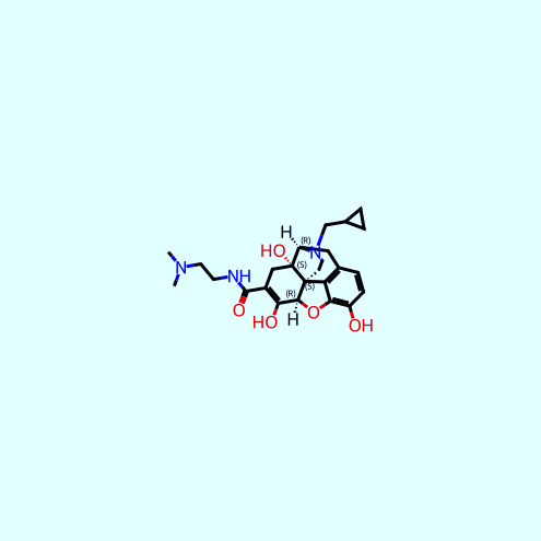 CN(C)CCNC(=O)C1=C(O)[C@@H]2Oc3c(O)ccc4c3[C@@]23CCN(CC2CC2)[C@H](C4)[C@]3(O)C1